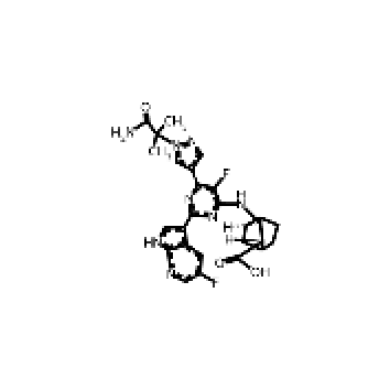 CC(C)(C(N)=O)n1cc(-c2nc(-c3c[nH]c4ncc(F)cc34)nc(N[C@H]3C4CCC(CC4)[C@@H]3C(=O)O)c2F)cn1